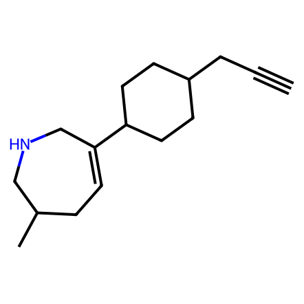 C#CCC1CCC(C2=CCC(C)CNC2)CC1